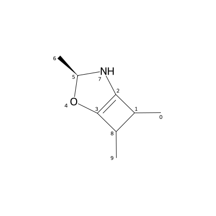 CC1C2=C(O[C@@H](C)N2)C1C